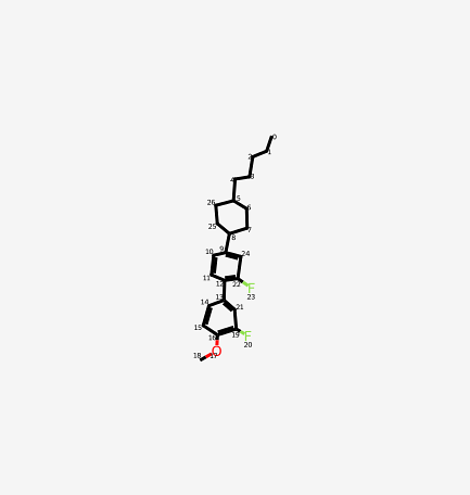 CCCCCC1CCC(c2ccc(-c3ccc(OC)c(F)c3)c(F)c2)CC1